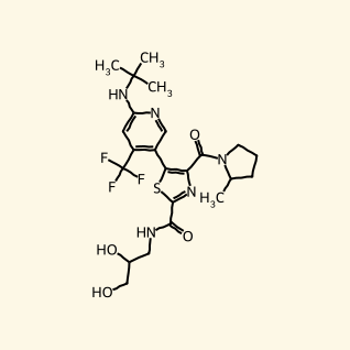 CC1CCCN1C(=O)c1nc(C(=O)NCC(O)CO)sc1-c1cnc(NC(C)(C)C)cc1C(F)(F)F